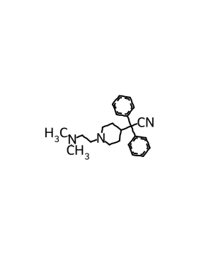 CN(C)CCN1CCC(C(C#N)(c2ccccc2)c2ccccc2)CC1